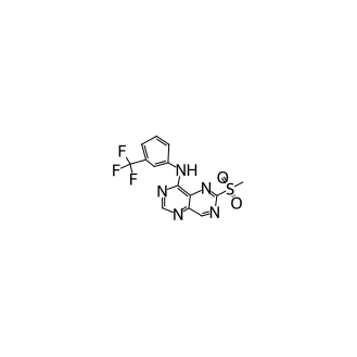 CS(=O)(=O)c1ncc2ncnc(Nc3cccc(C(F)(F)F)c3)c2n1